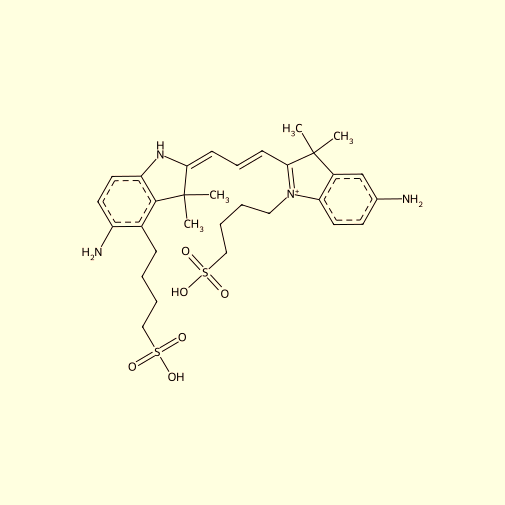 CC1(C)C(C=CC=C2Nc3ccc(N)c(CCCCS(=O)(=O)O)c3C2(C)C)=[N+](CCCCS(=O)(=O)O)c2ccc(N)cc21